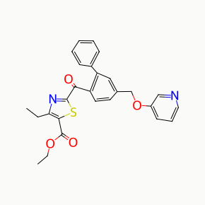 CCOC(=O)c1sc(C(=O)c2ccc(COc3cccnc3)cc2-c2ccccc2)nc1CC